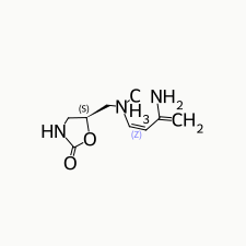 C=C(N)/C=C\N(C)C[C@@H]1CNC(=O)O1